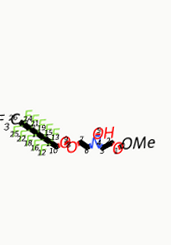 COOCCN(O)CCOOCC(F)(F)C(F)(F)C(F)(F)C(F)(F)C(F)(F)C(F)(F)F